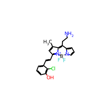 CC1=CC(/C=C/c2cccc(O)c2Cl)=[N+]2C1=C(CCN)c1cccn1[B-]2(F)F